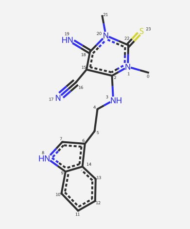 Cn1c(NCCc2c[nH]c3ccccc23)c(C#N)c(=N)n(C)c1=S